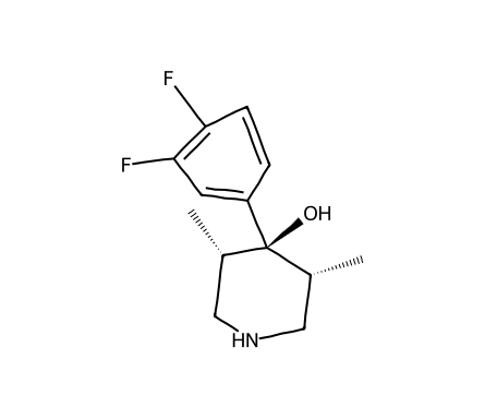 C[C@@H]1CNC[C@H](C)[C@]1(O)c1ccc(F)c(F)c1